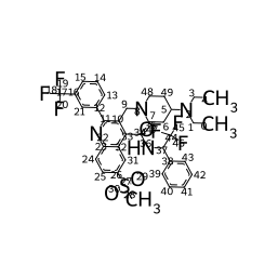 CCN(CC)C1CCN(Cc2c(-c3cccc(C(F)(F)F)c3)nc3ccc(S(C)(=O)=O)cc3c2C(=O)NC(c2ccccc2)C(F)(F)F)CC1